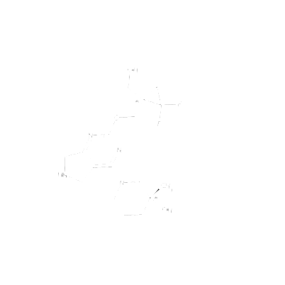 C[C@@]1(O)CCCN(c2nc(OC[C@]3(CO)CC3(F)F)nc3c2CNC3)C1